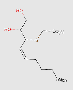 CCCCCCCCCCCC/C=C\C(SCC(=O)O)C(O)CO